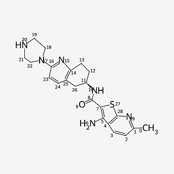 Cc1ccc2c(N)c(C(=O)N[C@@H]3CCc4nc(N5CCNCC5)ccc4C3)sc2n1